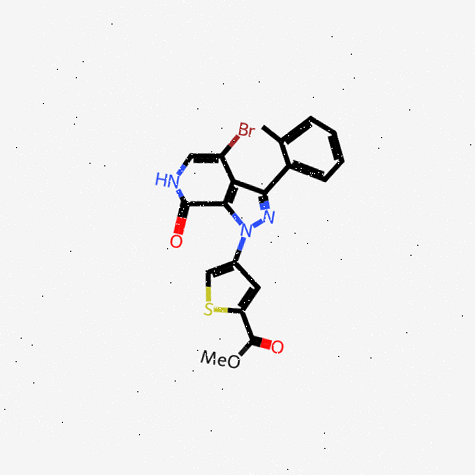 COC(=O)c1cc(-n2nc(-c3ccccc3C)c3c(Br)c[nH]c(=O)c32)cs1